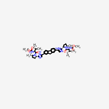 COC(=O)NC(C(=O)N1[C@@H](C)CC[C@H]1c1ncc(-c2ccc3c(c2)Cc2cc(-c4cnc([C@@H]5CC[C@H](C)N5C(=O)[C@@H](NC(=O)OC)C(C)C)[nH]4)ccc2-3)[nH]1)C(C)C